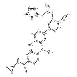 COc1ccc(C(=O)NC2CC2)cc1Nc1ncc(-c2ccc(C#N)c(O[C@@H](C)Cn3cnnn3)c2)cn1